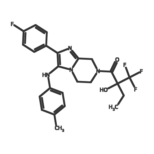 CCC(O)(C(=O)N1CCn2c(nc(-c3ccc(F)cc3)c2Nc2ccc(C)cc2)C1)C(F)(F)F